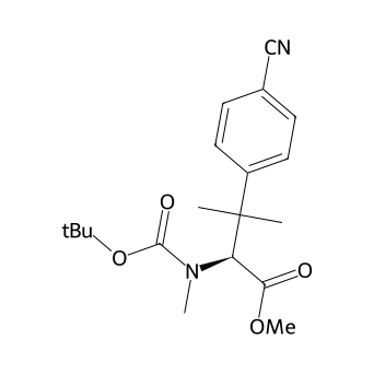 COC(=O)[C@@H](N(C)C(=O)OC(C)(C)C)C(C)(C)c1ccc(C#N)cc1